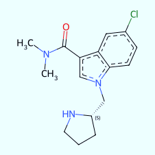 CN(C)C(=O)c1cn(C[C@@H]2CCCN2)c2ccc(Cl)cc12